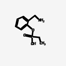 CCP(=O)(O)Oc1ccccc1CN